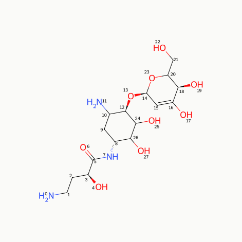 NCC[C@H](O)C(=O)N[C@@H]1CC(N)[C@@H](O[C@@H]2C=C(O)[C@H](O)C(CO)O2)C(O)C1O